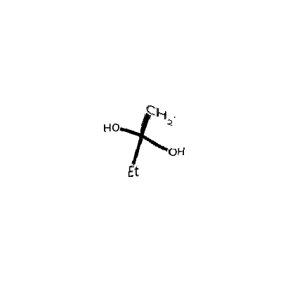 [CH2]C(O)(O)CC